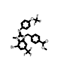 COC(=O)c1ccc(Cn2c(=Nc3ccc(OC(F)(F)F)cc3)n(C)c3c(Br)cc(C(F)(F)F)cc32)cc1